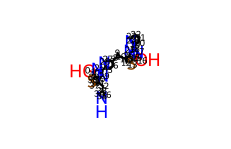 Oc1nc(-c2ccc(C3CC3c3csc4c(O)nc(-c5ccccn5)nc34)cn2)nc2c(CC3CNC3)csc12